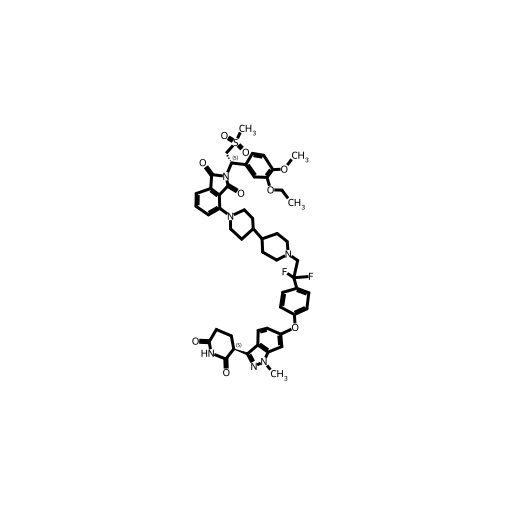 CCOc1cc([C@@H](CS(C)(=O)=O)N2C(=O)c3cccc(N4CCC(C5CCN(CC(F)(F)c6ccc(Oc7ccc8c([C@@H]9CCC(=O)NC9=O)nn(C)c8c7)cc6)CC5)CC4)c3C2=O)ccc1OC